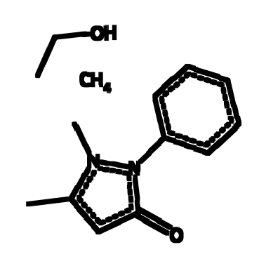 C.CCO.Cc1cc(=O)n(-c2ccccc2)n1C